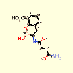 NC(=O)CCC(=O)NC1Cc2cccc(C(=O)O)c2OB1O